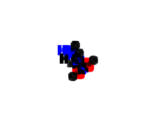 Cc1nc2c(OC(=O)c3ccccc3)nnc(OC(=O)c3ccccc3)c2n1Cc1ccc(-c2ccccc2-c2nnn[nH]2)cc1